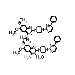 COc1cc2nc(N3CCN(c4nccc(-c5ccccc5)n4)CC3)nc(N)c2cc1OC.COc1cc2nc(N3CCN(c4nccc(-c5ccccc5)n4)CC3)nc(N)c2cc1OC.O